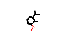 COc1cccc([C](C)C)c1C